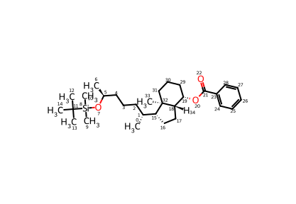 C[C@H](CCC[C@H](C)O[Si](C)(C)C(C)(C)C)[C@H]1CC[C@H]2[C@@H](OC(=O)c3ccccc3)CCC[C@]12C